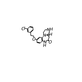 O=C1C[C@H]2CNCCN2c2cc(OCCc3cccc(Cl)c3)ccc2N1